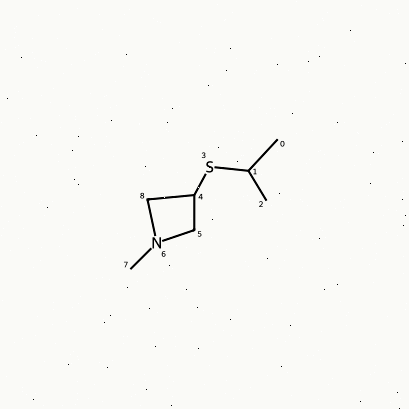 CC(C)SC1CN(C)C1